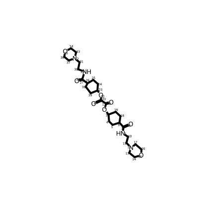 O=C(OC1CCC(C(=O)NCCN2CCOCC2)CC1)C(=O)OC1CCC(C(=O)NCCN2CCOCC2)CC1